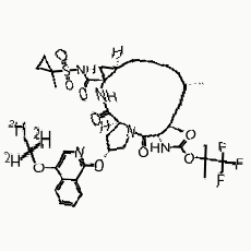 [2H]C([2H])([2H])Oc1cnc(O[C@@H]2C[C@H]3C(=O)N[C@]4(C(=O)NS(=O)(=O)C5(C)CC5)C[C@H]4CCCC[C@H](C)C[C@@H](C)[C@H](NC(=O)OC(C)(C)C(F)(F)F)C(=O)N3C2)c2ccccc12